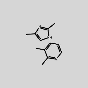 Cc1c[nH]c(C)n1.Cc1cccnc1C